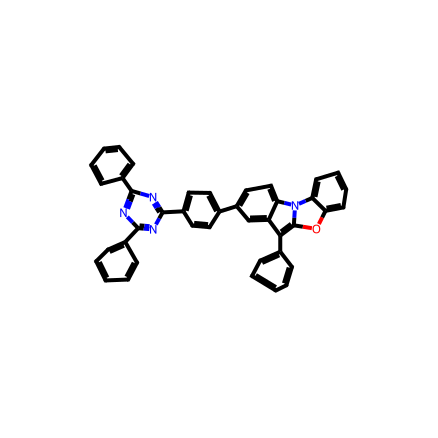 c1ccc(-c2nc(-c3ccccc3)nc(-c3ccc(-c4ccc5c(c4)c(-c4ccccc4)c4oc6ccccc6n45)cc3)n2)cc1